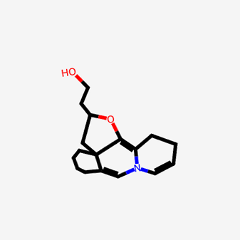 OCCC1CC23CCCCC2=CN2C=CCCC2=C3O1